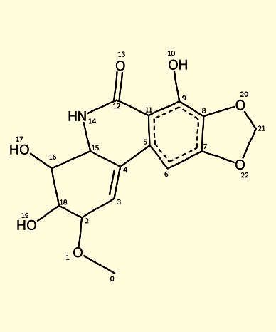 COC1C=C2c3cc4c(c(O)c3C(=O)NC2C(O)C1O)OCO4